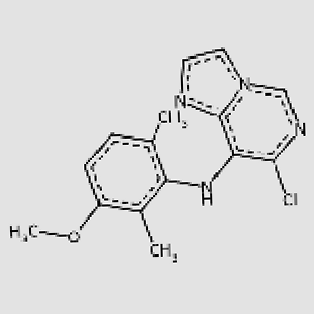 COc1ccc(C)c(Nc2c(Cl)ncn3ccnc23)c1C